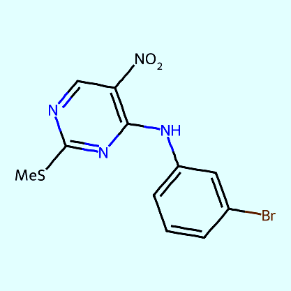 CSc1ncc([N+](=O)[O-])c(Nc2cccc(Br)c2)n1